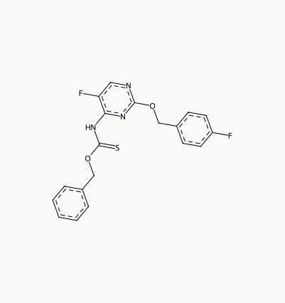 Fc1ccc(COc2ncc(F)c(NC(=S)OCc3ccccc3)n2)cc1